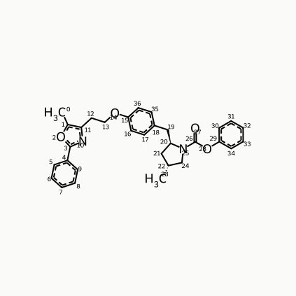 Cc1oc(-c2ccccc2)nc1CCOc1ccc(C[C@@H]2C[C@@H](C)CN2C(=O)Oc2ccccc2)cc1